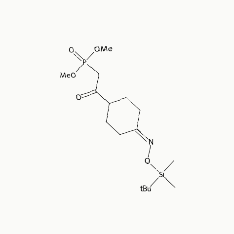 COP(=O)(CC(=O)C1CCC(=NO[Si](C)(C)C(C)(C)C)CC1)OC